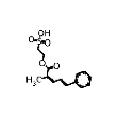 CC(=CC=Cc1ccccc1)C(=O)OCCS(=O)(=O)O